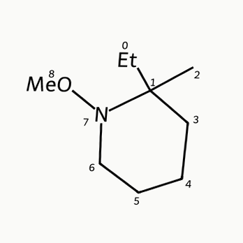 CCC1(C)CCCCN1OC